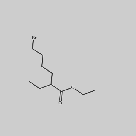 CCOC(=O)C(CC)CCCCBr